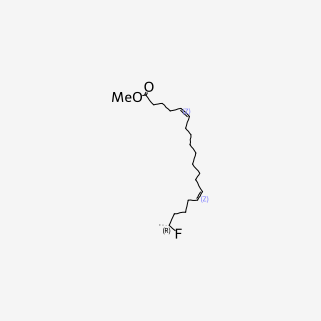 COC(=O)CCC/C=C\CCCCCCC/C=C\CCC[C@@H](C)F